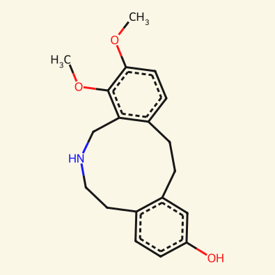 COc1ccc2c(c1OC)CNCCc1ccc(O)cc1CC2